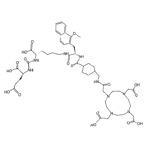 COc1c(C[C@@H](NC(=O)C2CCC(CNC(=O)CN3CCN(CC(=O)O)CCN(CC(=O)O)CCN(CC(=O)O)CC3)CC2)C(=O)NCCCC[C@H](NC(=O)N[C@@H](CCC(=O)O)C(=O)O)C(=O)O)ccc2ccccc12